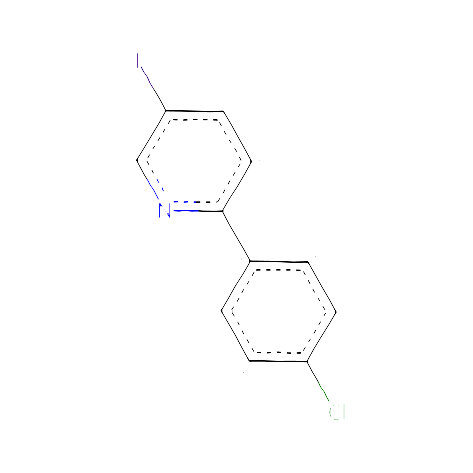 Clc1ccc(-c2ccc(I)cn2)cc1